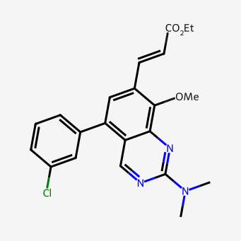 CCOC(=O)C=Cc1cc(-c2cccc(Cl)c2)c2cnc(N(C)C)nc2c1OC